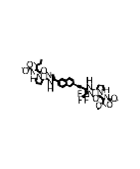 CC[C@H](C)[C@H](NC(=O)OC)C(=O)N1CCC[C@H]1c1ncc(-c2ccc3cc(C#Cc4[nH]c([C@@H]5CCCN5C(=O)[C@@H](NC(=O)OC)[C@@H](C)OC)nc4C(F)(F)F)ccc3c2)[nH]1